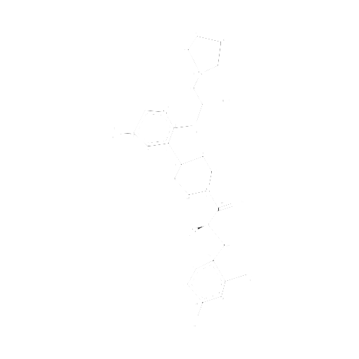 CC[C@@H](CN1CCCC1)Oc1ncc(C)cc1C1CCN(C(=O)[C@H](N)Cc2ccc(Cl)cc2Cl)CC1